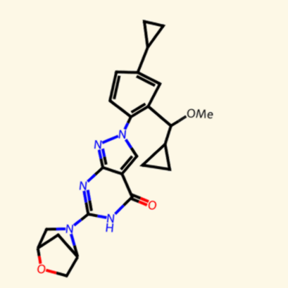 COC(c1cc(C2CC2)ccc1-n1cc2c(=O)[nH]c(N3CC4CC3CO4)nc2n1)C1CC1